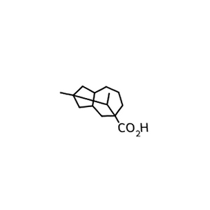 CC1C2(C)CC3CCCC1(C(=O)O)CC3C2